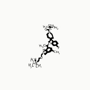 Cc1cc(C(C)OCC2(c3ccc(F)cc3)CCN(C(=O)OC(C)(C)C)CC2)c2nn(COCC[Si](C)(C)C)cc2c1